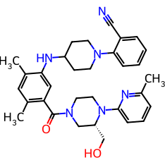 Cc1cccc(N2CCN(C(=O)c3cc(NC4CCN(c5ccccc5C#N)CC4)c(C)cc3C)C[C@H]2CO)n1